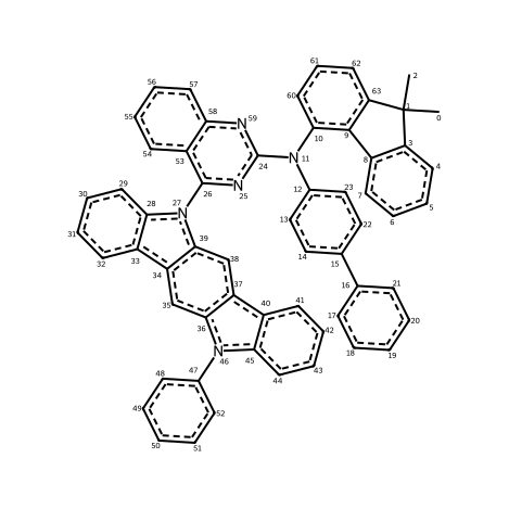 CC1(C)c2ccccc2-c2c(N(c3ccc(-c4ccccc4)cc3)c3nc(-n4c5ccccc5c5cc6c(cc54)c4ccccc4n6-c4ccccc4)c4ccccc4n3)cccc21